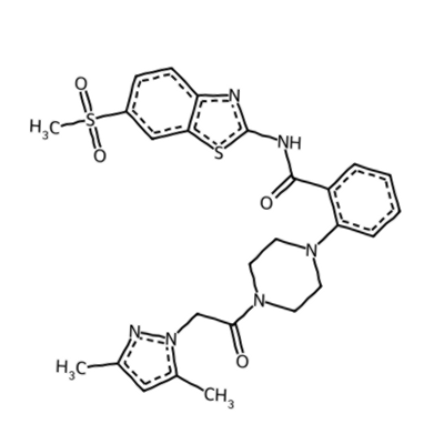 Cc1cc(C)n(CC(=O)N2CCN(c3ccccc3C(=O)Nc3nc4ccc(S(C)(=O)=O)cc4s3)CC2)n1